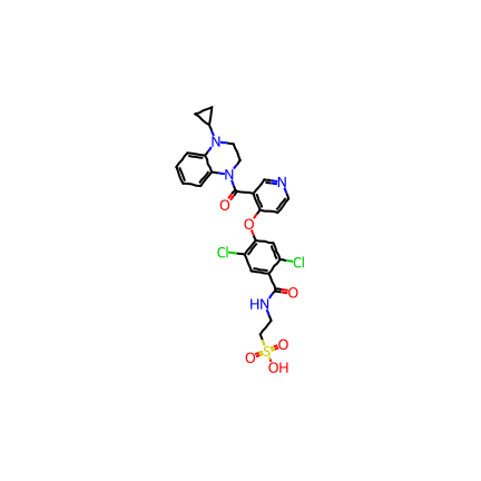 O=C(NCCS(=O)(=O)O)c1cc(Cl)c(Oc2ccncc2C(=O)N2CCN(C3CC3)c3ccccc32)cc1Cl